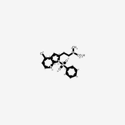 CN(CCc1cc2c(Cl)ccnc2n1S(=O)(=O)c1ccccc1)C(=O)O